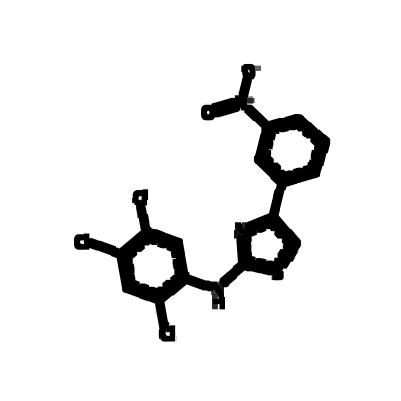 O=[N+]([O-])c1cccc(-c2csc(Nc3cc(Cl)c(Cl)cc3Cl)n2)c1